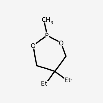 C[CH]C1(CC)COP(C)OC1